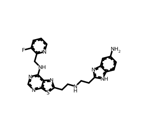 Nc1ccc2[nH]c(CCNCCc3nc4c(NCc5ncccc5F)ncnc4s3)nc2c1